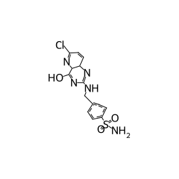 NS(=O)(=O)c1ccc(CNC2=NC3C=CC(Cl)=NC3C(O)=N2)cc1